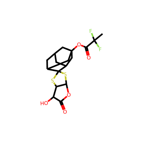 CC(F)(F)C(=O)OC12CC3CC(C1)C1(SC4OC(=O)C(O)C4S1)C(C3)C2